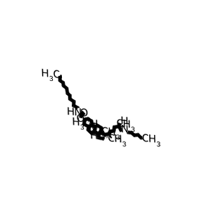 CCCCCCCCCCCCNC(=O)O[C@H]1CC[C@@]2(C)C(=CC[C@H]3[C@@H]4CC[C@H]([C@H](C)CCCC(C)CNCCCCCC)[C@@]4(C)CC[C@@H]32)C1